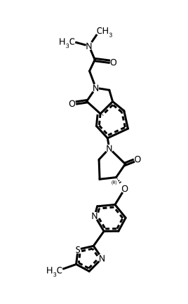 Cc1cnc(-c2ccc(O[C@@H]3CCN(c4ccc5c(c4)C(=O)N(CC(=O)N(C)C)C5)C3=O)cn2)s1